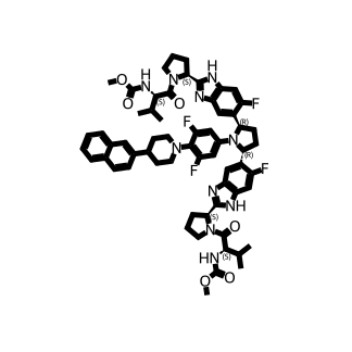 COC(=O)N[C@H](C(=O)N1CCC[C@H]1c1nc2cc([C@H]3CC[C@H](c4cc5nc([C@@H]6CCCN6C(=O)[C@@H](NC(=O)OC)C(C)C)[nH]c5cc4F)N3c3cc(F)c(N4CCC(c5ccc6ccccc6c5)CC4)c(F)c3)c(F)cc2[nH]1)C(C)C